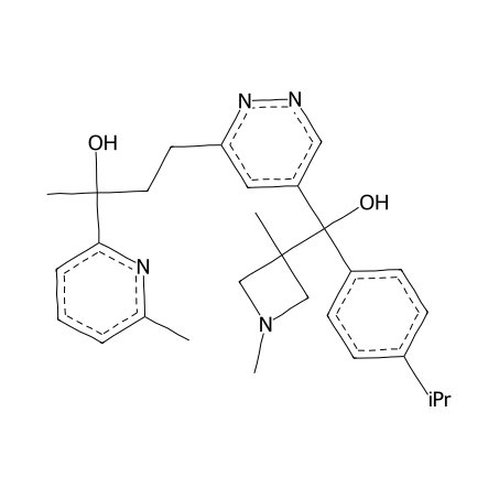 Cc1cccc(C(C)(O)CCc2cc(C(O)(c3ccc(C(C)C)cc3)C3(C)CN(C)C3)cnn2)n1